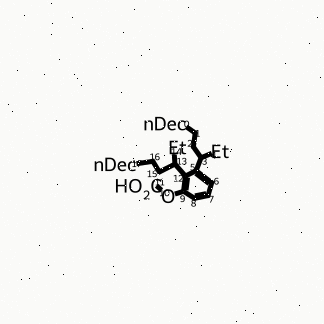 CCCCCCCCCCCCC(CC)c1cccc(OC(=O)O)c1C(CC)CCCCCCCCCCCC